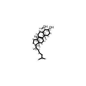 CC(C)CCC[C@@H](C)[C@H]1CC[C@H]2C3=C(CC[C@]12C)[C@@]1(C)CC[C@H](O)C[C@]1(CO)CC3